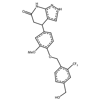 COc1cc(C2CC(=O)Nc3n[nH]cc32)ccc1OCc1ccc(CO)cc1C(F)(F)F